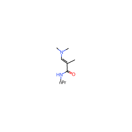 CCCNC(=O)C(C)=CN(C)C